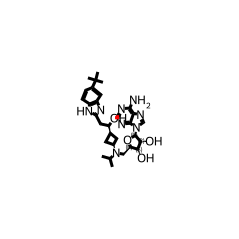 CC(C)N(C[C@H]1O[C@@H](n2cnc3c(N)ncnc32)[C@H](O)[C@@H]1O)[C@H]1C[C@H](C(O)Cc2nc3cc(C(C)(C)C)ccc3[nH]2)C1